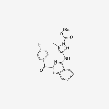 Cc1cc(Nc2nc(C(=O)c3ccc(F)cc3)cc3ccccc23)nn1C(=O)OC(C)(C)C